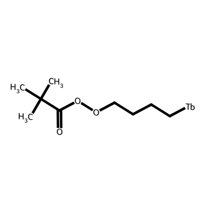 CC(C)(C)C(=O)OOCCC[CH2][Tb]